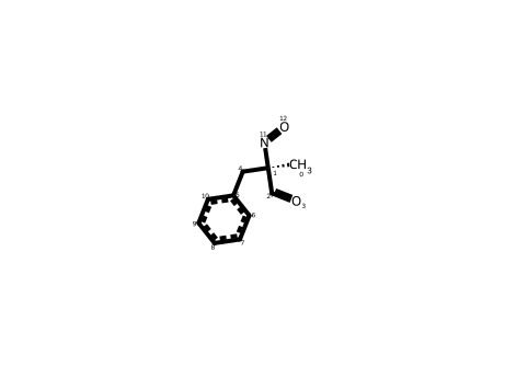 C[C@]([C]=O)(Cc1ccccc1)N=O